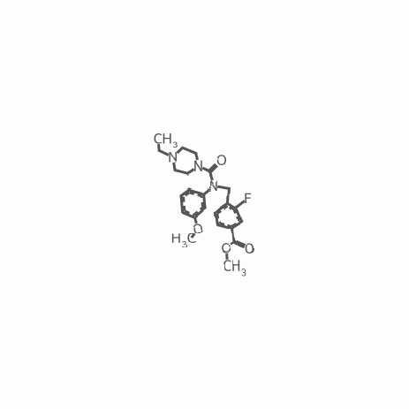 CCN1CCN(C(=O)N(Cc2ccc(C(=O)OC)cc2F)c2cccc(OC)c2)CC1